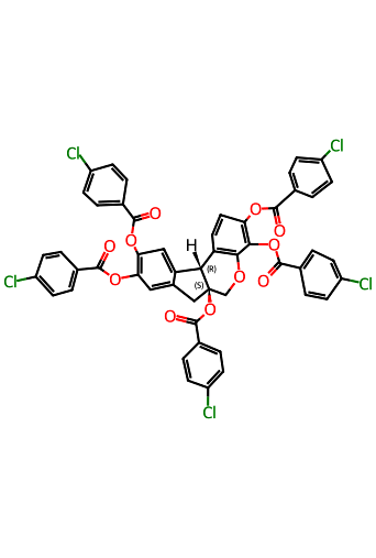 O=C(Oc1cc2c(cc1OC(=O)c1ccc(Cl)cc1)[C@@H]1c3ccc(OC(=O)c4ccc(Cl)cc4)c(OC(=O)c4ccc(Cl)cc4)c3OC[C@]1(OC(=O)c1ccc(Cl)cc1)C2)c1ccc(Cl)cc1